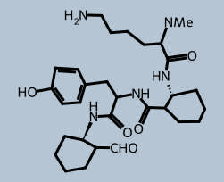 CNC(CCCCN)C(=O)N[C@@H]1CCCCC1C(=O)NC(Cc1ccc(O)cc1)C(=O)N[C@@H]1CCCCC1C=O